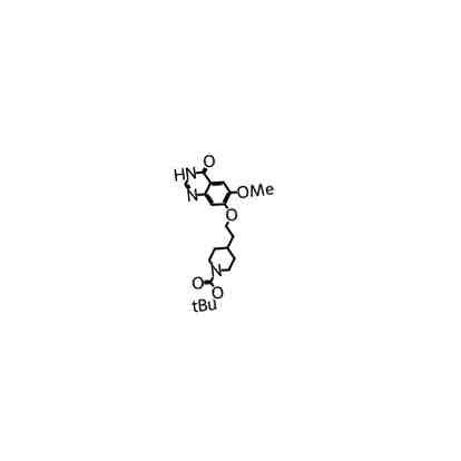 COc1cc2c(=O)[nH]cnc2cc1OCCC1CCN(C(=O)OC(C)(C)C)CC1